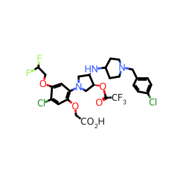 O=C(O)COc1cc(Cl)c(OCC(F)F)cc1N1C[C@H](NC2CCN(Cc3ccc(Cl)cc3)CC2)[C@@H](OC(=O)C(F)(F)F)C1